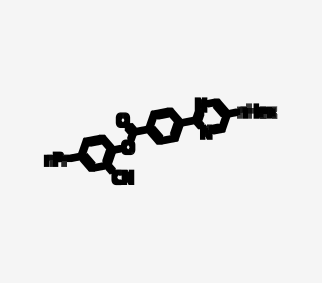 CCCCCCc1cnc(-c2ccc(C(=O)Oc3ccc(CCC)cc3C#N)cc2)nc1